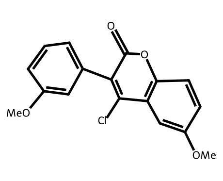 COc1cccc(-c2c(Cl)c3cc(OC)ccc3oc2=O)c1